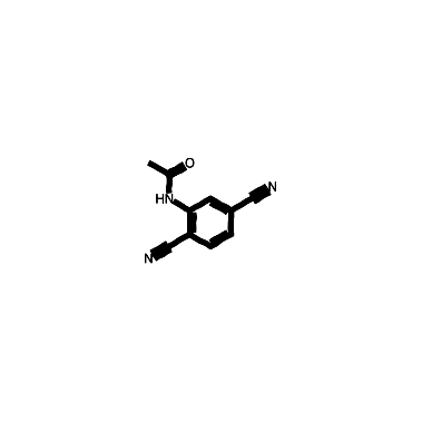 CC(=O)Nc1cc(C#N)ccc1C#N